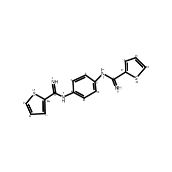 N=C(Nc1ccc(NC(=N)c2cccs2)cc1)c1cccs1